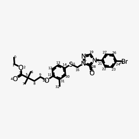 CCOC(=O)C(C)(C)CCOc1ccc(SCn2ncn(-c3ccc(Br)cc3)c2=O)cc1C